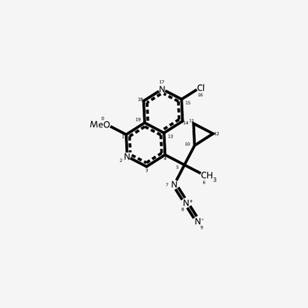 COc1ncc(C(C)(N=[N+]=[N-])C2CC2)c2cc(Cl)ncc12